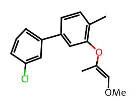 CO/C=C(\C)Oc1cc(-c2cccc(Cl)c2)ccc1C